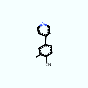 Cc1cc(-c2[c]cncc2)ccc1C#N